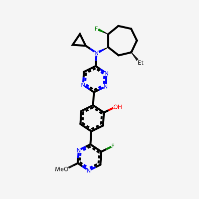 CC[C@@H]1CCC[C@H](F)[C@H](N(c2cnc(-c3ccc(-c4nc(OC)ncc4F)cc3O)nn2)C2CC2)C1